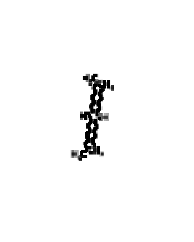 CCCCCCCCNCCCCCCCC.CCCCCCCNCCCCCCC